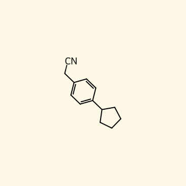 N#CCc1ccc(C2CCCC2)cc1